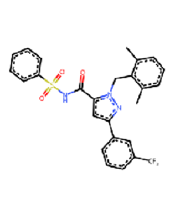 Cc1cccc(C)c1Cn1nc(-c2cccc(C(F)(F)F)c2)cc1C(=O)NS(=O)(=O)c1ccccc1